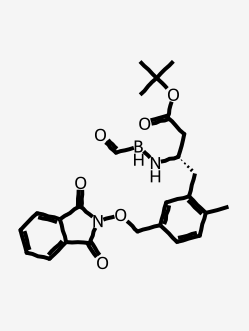 Cc1ccc(CON2C(=O)c3ccccc3C2=O)cc1C[C@@H](CC(=O)OC(C)(C)C)NBC=O